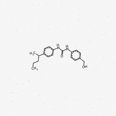 CCCC(C)c1ccc(NC(=O)Nc2ccc(CO)cc2)cc1